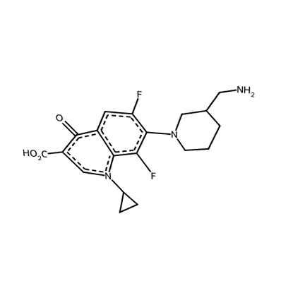 NCC1CCCN(c2c(F)cc3c(=O)c(C(=O)O)cn(C4CC4)c3c2F)C1